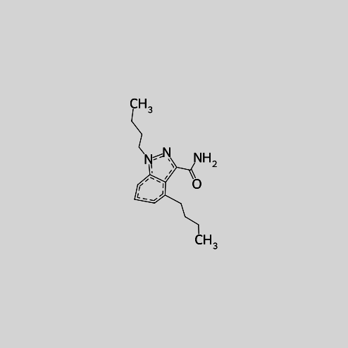 CCCCc1cccc2c1c(C(N)=O)nn2CCCC